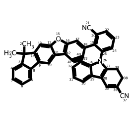 CC1(C)c2ccccc2-c2cc3c(cc21)oc1cc(-c2c(C#N)cccc2-n2c4c(c5ccccc52)C=C(C#N)CC4)c#cc13